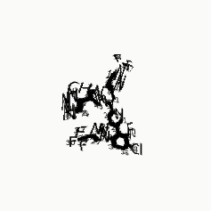 Cn1nncc1-c1cnn([C@@H](Cc2ccn(C(F)F)n2)c2ccc(-c3c(-n4cc(C(F)(F)F)nn4)ccc(Cl)c3F)cn2)c1